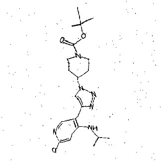 CC(C)Nc1cc(Cl)ncc1-c1cn(C2CCN(C(=O)OC(C)(C)C)CC2)nn1